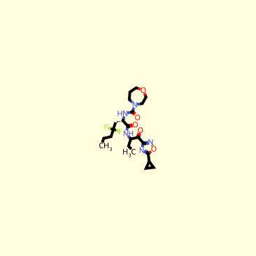 CCCC(F)(F)C[C@H](NC(=O)N1CCCOCC1)C(=O)NC(CC)C(=O)c1noc(C2CC2)n1